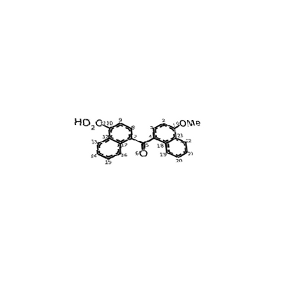 COc1ccc(C(=O)c2ccc(C(=O)O)c3ccccc23)c2ccccc12